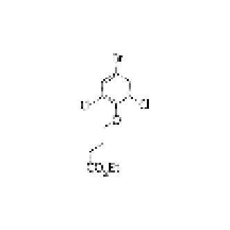 CCOC(=O)CCCOc1c(Cl)cc(Br)cc1Cl